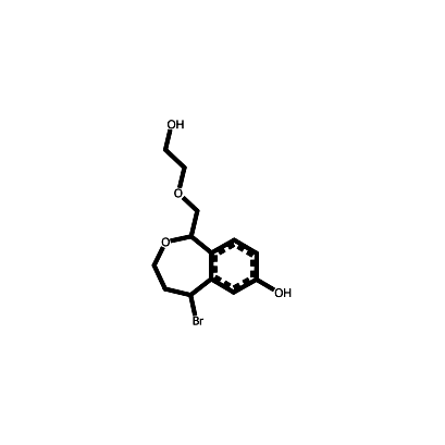 OCCOCC1OCCC(Br)c2cc(O)ccc21